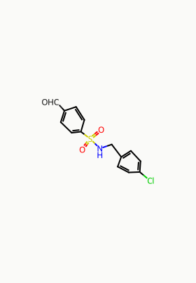 O=Cc1ccc(S(=O)(=O)NCc2ccc(Cl)cc2)cc1